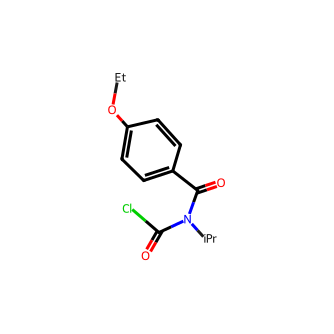 CCOc1ccc(C(=O)N(C(=O)Cl)C(C)C)cc1